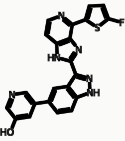 Oc1cncc(-c2ccc3[nH]nc(-c4nc5c(-c6ccc(F)s6)nccc5[nH]4)c3c2)c1